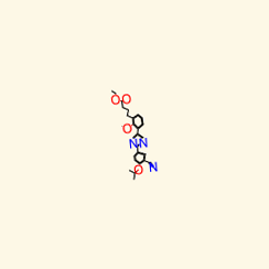 CCOC(=O)CCCc1cccc(-c2cnc(-c3ccc(OC(C)C)c(C#N)c3)nc2)c1OC